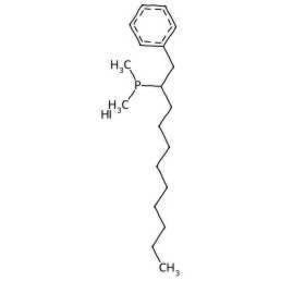 CCCCCCCCCC(Cc1ccccc1)P(C)C.I